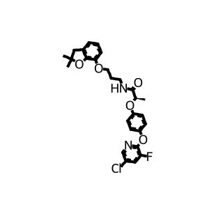 C[C@@H](Oc1ccc(Oc2ncc(Cl)cc2F)cc1)C(=O)NCCCOc1cccc2c1OC(C)(C)C2